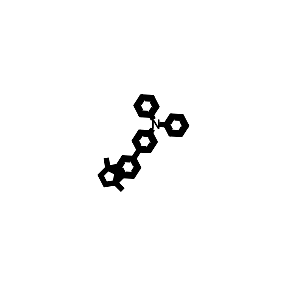 CC12CCC(C)(C1)c1cc(-c3ccc(N(c4ccccc4)c4ccccc4)cc3)ccc12